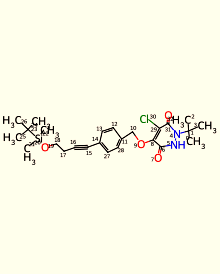 CC(C)(C)n1[nH]c(=O)c(OCc2ccc(C#CCCO[Si](C)(C)C(C)(C)C)cc2)c(Cl)c1=O